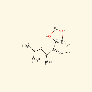 CCCCCC(CC(C(=O)O)C(=O)O)c1cccc2c1OCO2